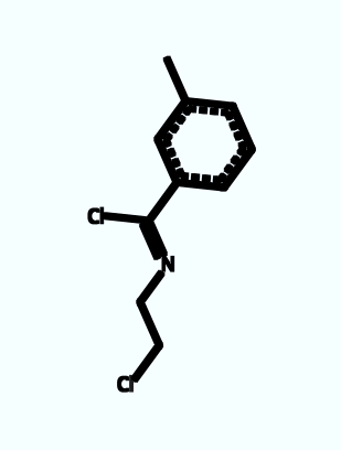 Cc1cccc(/C(Cl)=N/CCCl)c1